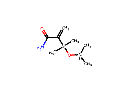 C=C(C(N)=O)[Si](C)(C)O[SiH](C)C